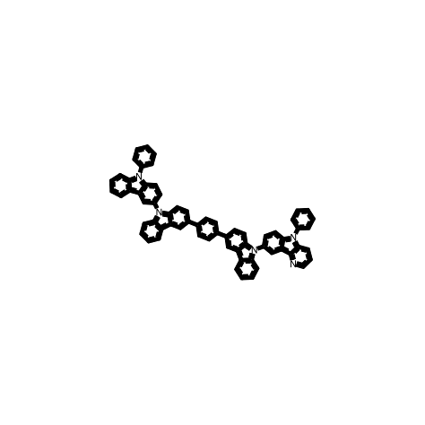 c1ccc(-n2c3ccccc3c3cc(-n4c5ccccc5c5cc(-c6ccc(-c7ccc8c(c7)c7ccccc7n8-c7ccc8c(c7)c7ncccc7n8-c7ccccc7)cc6)ccc54)ccc32)cc1